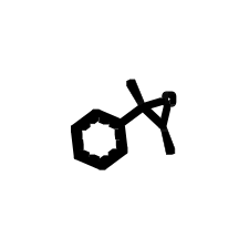 C[C@@H]1O[C@@]1(C)c1ccccc1